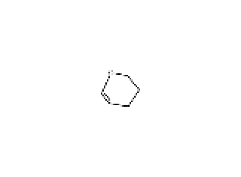 [C]1CCC=CO1